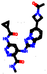 CNC(=O)c1nnc(NC(=O)C2CC2)cc1Nc1nc2ccc(C3CN(C(C)=O)C3)cn2n1